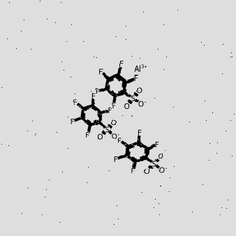 O=S(=O)([O-])c1c(F)c(F)c(F)c(F)c1F.O=S(=O)([O-])c1c(F)c(F)c(F)c(F)c1F.O=S(=O)([O-])c1c(F)c(F)c(F)c(F)c1F.[Al+3]